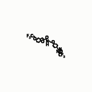 O=C(NCCOc1ccc(-c2noc(C(F)(F)F)n2)cc1)c1cc2cc(OCC(F)(F)F)ccc2o1